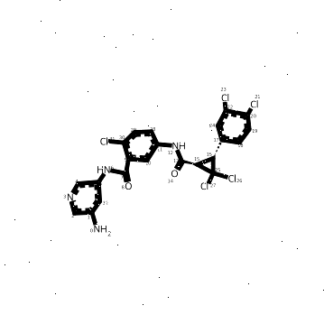 Nc1cncc(NC(=O)c2cc(NC(=O)[C@H]3[C@H](c4ccc(Cl)c(Cl)c4)C3(Cl)Cl)ccc2Cl)c1